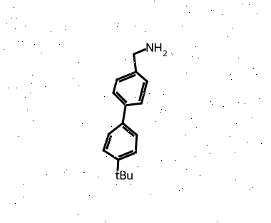 CC(C)(C)c1ccc(-c2ccc(CN)cc2)cc1